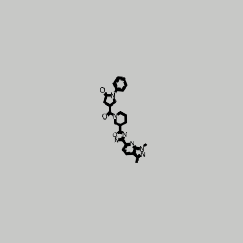 Cc1nn(C)c2nc(-c3noc(C4CCCN(C(=O)C5CC(=O)N(c6ccccc6)C5)C4)n3)ccc12